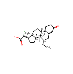 CC[C@@H]1CC2=CC(=O)CC[C@]2(C)[C@H]2CC[C@]3(C)C(=C(F)C(=O)O)CC[C@H]3[C@H]12